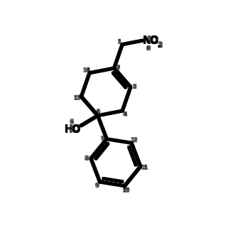 O=[N+]([O-])CC1=CCC(O)(c2ccccc2)CC1